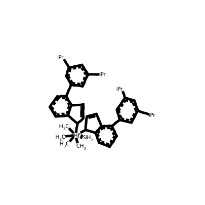 CC(C)c1cc(-c2cccc3c2C=C[CH]3[Hf]([CH3])([CH3])([CH3])([CH3])(=[SiH2])[CH]2C=Cc3c(-c4cc(C(C)C)cc(C(C)C)c4)cccc32)cc(C(C)C)c1